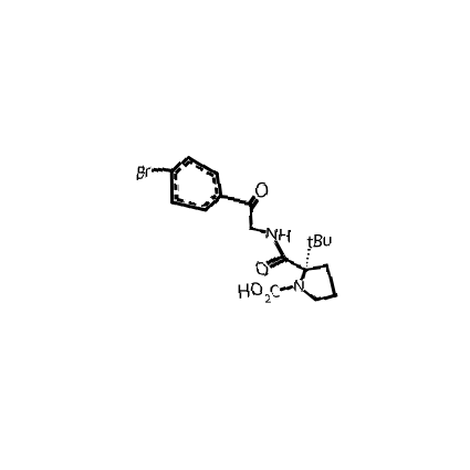 CC(C)(C)[C@]1(C(=O)NCC(=O)c2ccc(Br)cc2)CCCN1C(=O)O